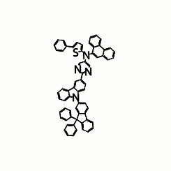 c1ccc(-c2ccc(N(c3cnc(-c4ccc5c(c4)c4ccccc4n5-c4ccc5c(c4)C(c4ccccc4)(c4ccccc4)c4ccccc4-5)nc3)c3cc4ccccc4c4ccccc34)s2)cc1